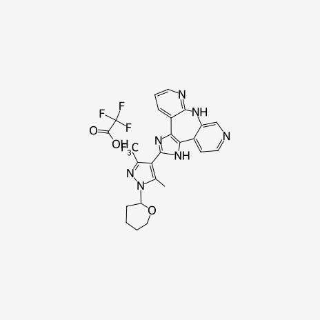 Cc1c(-c2nc3c([nH]2)-c2ccncc2Nc2ncccc2-3)c(C(F)(F)F)nn1C1CCCCO1.O=C(O)C(F)(F)F